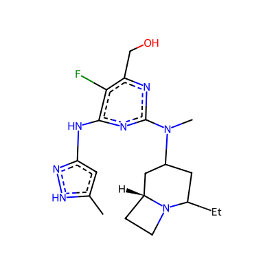 CCC1CC(N(C)c2nc(CO)c(F)c(Nc3cc(C)[nH]n3)n2)C[C@H]2CCN12